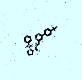 O=C(NCc1cc(-c2ccc(C(F)(F)F)cc2)ncn1)[C@@H]1CCCN1S(=O)(=O)c1ccccc1